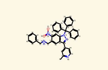 Cc1cc(-c2nn(C(c3ccccc3)(c3ccccc3)c3ccccc3)c3cc([N+](=O)[O-])c(CNCc4ccccc4)cc23)ccn1